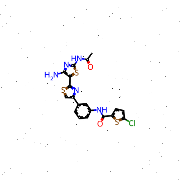 CC(=O)Nc1nc(N)c(-c2nc(-c3cccc(NC(=O)c4ccc(Cl)s4)c3)cs2)s1